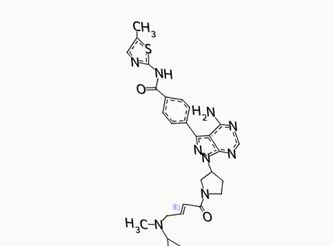 Cc1cnc(NC(=O)c2ccc(-c3nn(C4CCN(C(=O)/C=C/CN(C)C5CC5)C4)c4ncnc(N)c34)cc2)s1